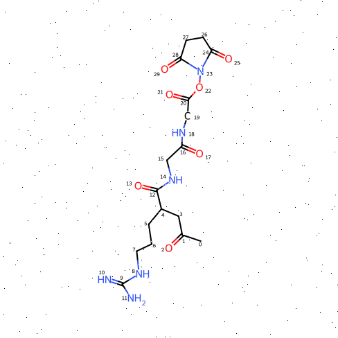 CC(=O)CC(CCCNC(=N)N)C(=O)NCC(=O)NCC(=O)ON1C(=O)CCC1=O